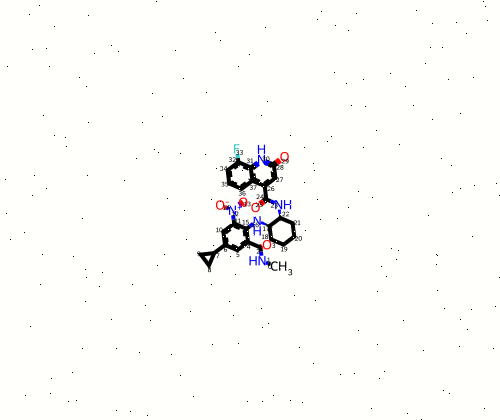 CNC(=O)c1cc(C2CC2)cc([N+](=O)[O-])c1N[C@@H]1CCCC[C@@H]1NC(=O)c1cc(=O)[nH]c2c(F)cccc12